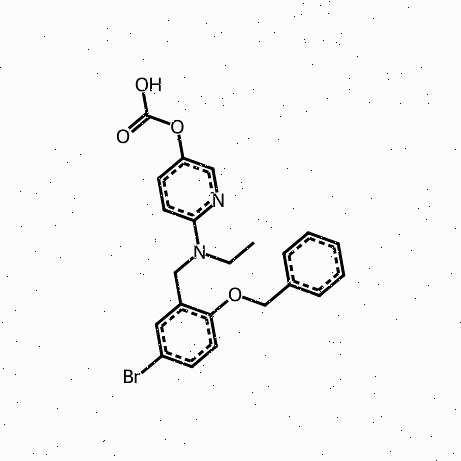 CCN(Cc1cc(Br)ccc1OCc1ccccc1)c1ccc(OC(=O)O)cn1